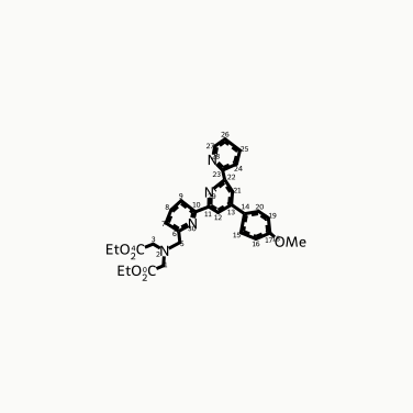 CCOC(=O)CN(CC(=O)OCC)Cc1cccc(-c2cc(-c3ccc(OC)cc3)cc(-c3ccccn3)n2)n1